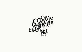 CCOc1ccc(/C=C\c2cc(OC)c(OC)c(OC)c2)cc1NC(=O)CCN(CC)CC